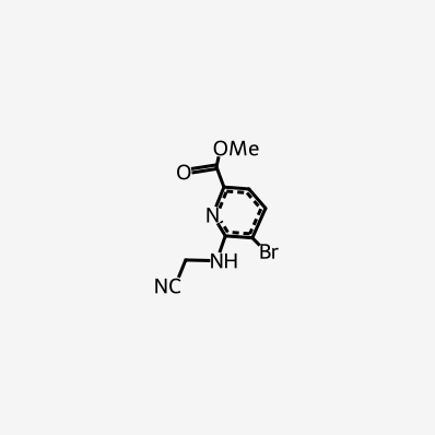 COC(=O)c1ccc(Br)c(NCC#N)n1